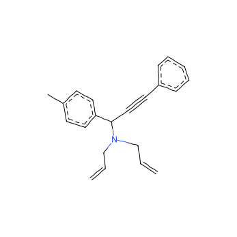 C=CCN(CC=C)C(C#Cc1ccccc1)c1ccc(C)cc1